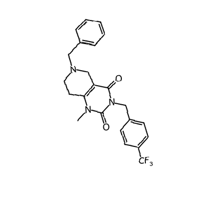 Cn1c2c(c(=O)n(Cc3ccc(C(F)(F)F)cc3)c1=O)CN(Cc1ccccc1)CC2